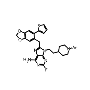 CC(=O)N1CCC(CCn2c(Cc3cc4c(cc3-c3cccs3)OCO4)nc3c(N)nc(F)nc32)CC1